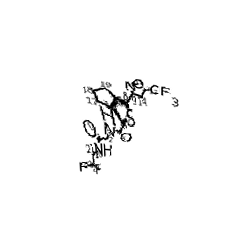 O=C(CNC(=O)c1sc(C2=NO[C@@H](C(F)(F)F)C2)c2c1CCC2)NCC(F)F